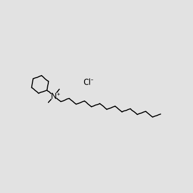 CCCCCCCCCCCCCC[N+](C)(C)C1CCCCC1.[Cl-]